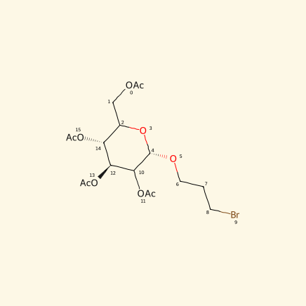 CC(=O)OCC1O[C@H](OCCCBr)C(OC(C)=O)[C@@H](OC(C)=O)[C@@H]1OC(C)=O